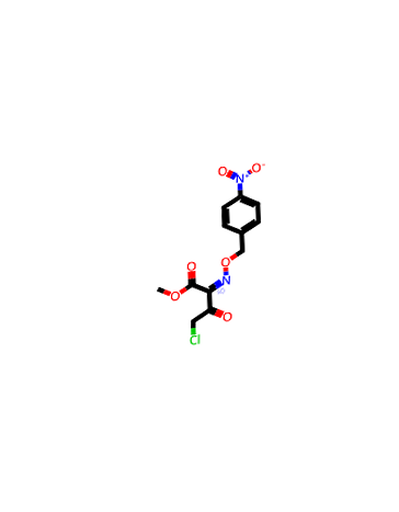 COC(=O)/C(=N\OCc1ccc([N+](=O)[O-])cc1)C(=O)CCl